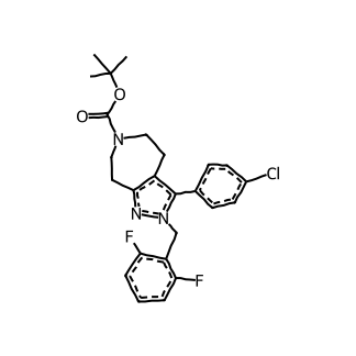 CC(C)(C)OC(=O)N1CCc2nn(Cc3c(F)cccc3F)c(-c3ccc(Cl)cc3)c2CC1